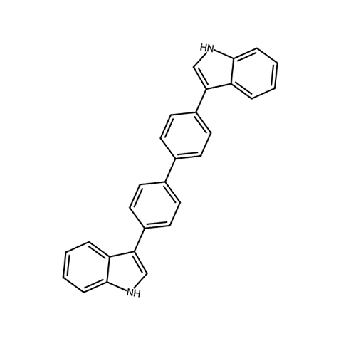 c1ccc2c(-c3ccc(-c4ccc(-c5c[nH]c6ccccc56)cc4)cc3)c[nH]c2c1